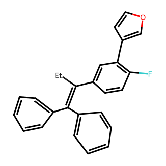 CCC(=C(c1ccccc1)c1ccccc1)c1ccc(F)c(-c2ccoc2)c1